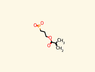 C=C(C)C(=O)OCCCP(=O)=O